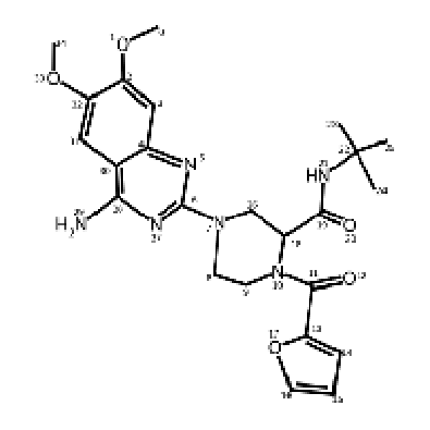 COc1cc2nc(N3CCN(C(=O)c4ccco4)C(C(=O)NC(C)(C)C)C3)nc(N)c2cc1OC